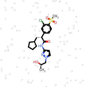 C[C@@H](O)Cn1ccc(NC(=O)[C@H](CC2CCCC2)c2ccc(S(C)(=O)=O)c(Cl)c2)n1